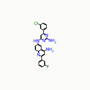 Nc1nc(Nc2ccc3nc(-c4cccc(F)c4)cc(N)c3c2)cc(-c2cccc(Cl)c2)n1